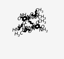 CCc1nc(C)oc1C(=O)Nc1nc2cc(C(N)=O)cc(OCCC3CNC3)c2n1CC=CCn1c(NC(=O)c2cc(C)nn2CC)nc2cc(C(N)=O)cc(OC)c21